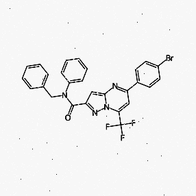 O=C(c1cc2nc(-c3ccc(Br)cc3)cc(C(F)(F)F)n2n1)N(Cc1ccccc1)c1ccccc1